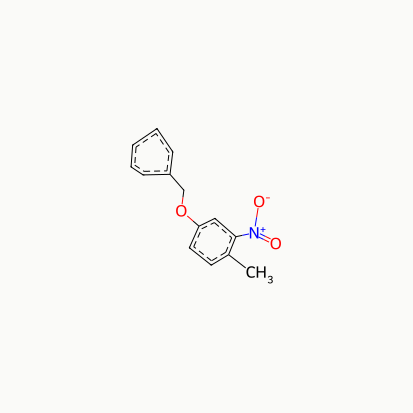 Cc1ccc(OCc2ccccc2)cc1[N+](=O)[O-]